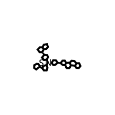 c1ccc2c(-c3ccc(N(c4ccc(-c5ccc6c(ccc7c8ccccc8ccc67)c5)cc4)c4cccc5c4sc4ccccc45)cc3)cccc2c1